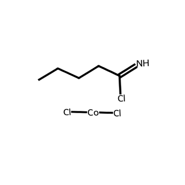 CCCCC(=N)Cl.[Cl][Co][Cl]